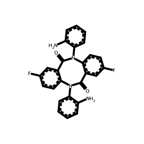 Nc1ccccc1N1C(=O)c2cc(F)ccc2N(c2ccccc2N)C(=O)c2cc(F)ccc21